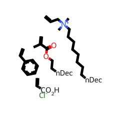 C=C(C)C(=O)OCCCCCCCCCCCC.C=CC(=O)O.C=CC[N+](C)(C)CCCCCCCCCCCCCCCCCC.C=Cc1ccccc1.[Cl-]